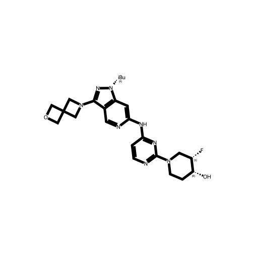 CC[C@@H](C)n1nc(N2CC3(COC3)C2)c2cnc(Nc3ccnc(N4CC[C@@H](O)[C@@H](F)C4)n3)cc21